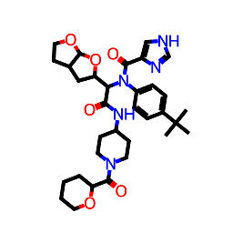 CC(C)(C)c1ccc(N(C(=O)c2c[nH]cn2)C(C(=O)NC2CCN(C(=O)C3CCCCO3)CC2)C2CC3CCOC3O2)cc1